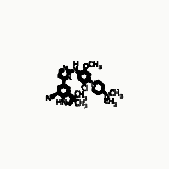 COc1cc(N2CCC(N(C)C)CC2)c(Cl)cc1Nc1nccc(-c2cc(C#N)c3c(c2)C(C)(C)CN3)n1